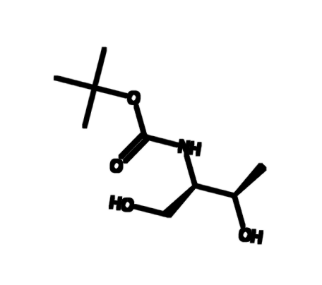 C[C@@H](O)[C@@H](CO)NC(=O)OC(C)(C)C